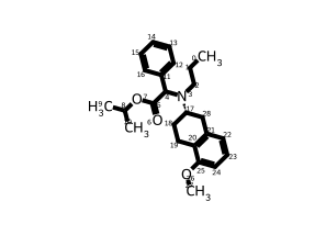 CCCN(C(C(=O)OC(C)C)c1ccccc1)[C@H]1CCc2c(cccc2OC)C1